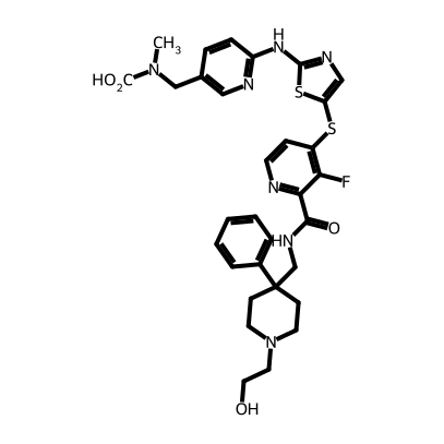 CN(Cc1ccc(Nc2ncc(Sc3ccnc(C(=O)NCC4(c5ccccc5)CCN(CCO)CC4)c3F)s2)nc1)C(=O)O